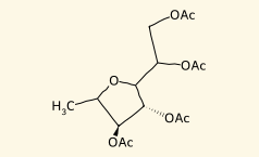 CC(=O)OCC(OC(C)=O)C1OC(C)[C@H](OC(C)=O)[C@H]1OC(C)=O